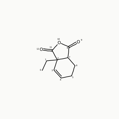 CCC12C=CCCC1C(=O)OC2=O